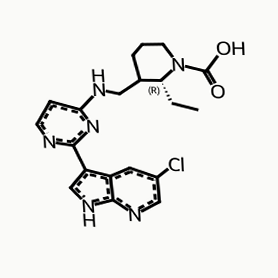 CC[C@@H]1C(CNc2ccnc(-c3c[nH]c4ncc(Cl)cc34)n2)CCCN1C(=O)O